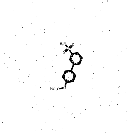 NS(=O)(=O)c1cccc(-c2ccc(OC(=O)O)cc2)c1